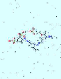 C\C=C(C)/C(=C\C(C)=C\N=Nc1ccc(S(=O)(=O)O)cc1S(=O)(=O)O)N=N/C=C(C)/C=C(N)\C(=C/C)OCCCS(=O)(=O)O